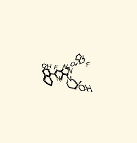 C[C@@]1(O)CCCN(c2nc(OC[C@@]34CCCN3C[C@H](F)C4)nc3c(F)c(-c4cc(O)cc5ccccc45)ncc23)C1